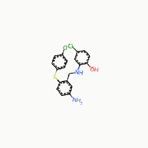 Nc1ccc(Sc2ccc(Cl)cc2)c(CNc2cc(Cl)ccc2O)c1